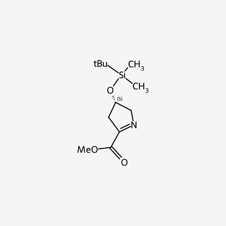 COC(=O)C1=NC[C@@H](O[Si](C)(C)C(C)(C)C)C1